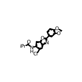 CC(C)C(=O)Nc1cc2oc(-c3ccc4c(c3)OCO4)nc2cc1Cl